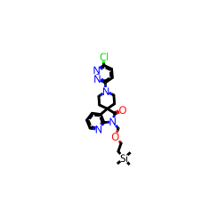 C[Si](C)(C)CCOCN1C(=O)C2(CCN(c3ccc(Cl)nn3)CC2)c2cccnc21